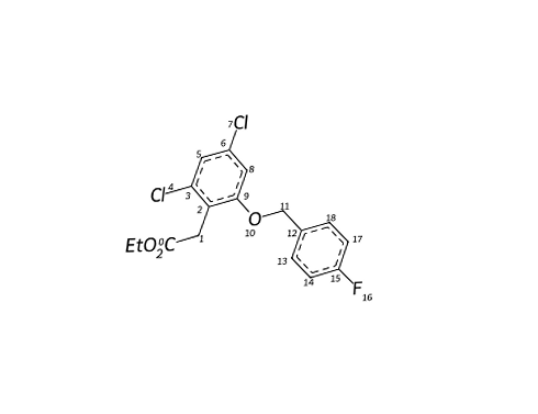 CCOC(=O)Cc1c(Cl)cc(Cl)cc1OCc1ccc(F)cc1